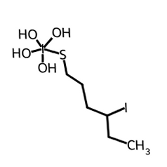 CCC(I)CCCSI(O)(O)(O)O